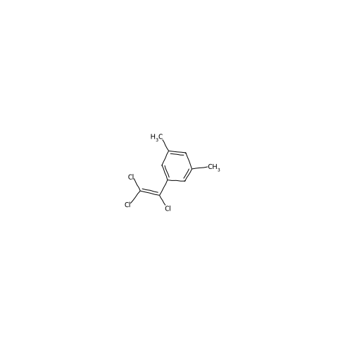 Cc1cc(C)cc(C(Cl)=C(Cl)Cl)c1